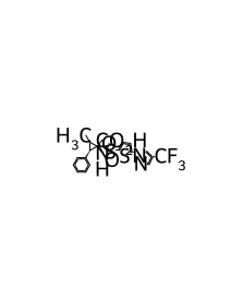 CC1[C@H](c2ccccc2)[C@]1(NS(=O)(=O)c1ccc(-n2cc(C(F)(F)F)cn2)s1)C(=O)O